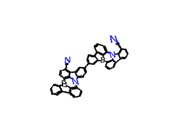 N#Cc1ccc2c3c1c1cc(-c4ccc5c(c4)B4c6c-5cccc6-n5c6c(C#N)cccc6c6cccc4c65)ccc1n3-c1cccc3c1B2c1ccccc1-3